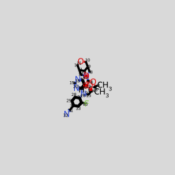 CC(C)(C)OC(=O)N1CC2COCC(C1)C2Oc1ncnc2c1OCCN2c1ccc(C#N)cc1F